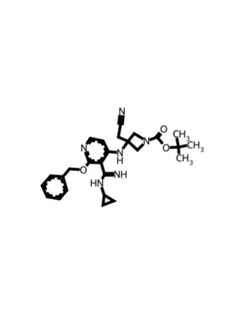 CC(C)(C)OC(=O)N1CC(CC#N)(Nc2ccnc(OCc3ccccc3)c2C(=N)NC2CC2)C1